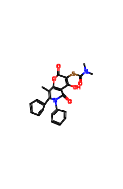 Cc1c(-c2ccccc2)n(-c2ccccc2)c(=O)c2c(O)c(SC(=O)N(C)C)c(=O)oc12